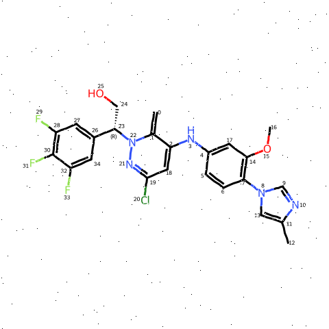 C=C1C(Nc2ccc(-n3cnc(C)c3)c(OC)c2)=CC(Cl)=NN1[C@@H](CO)c1cc(F)c(F)c(F)c1